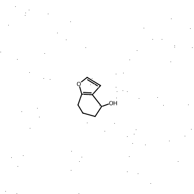 OC1CCCc2occc21